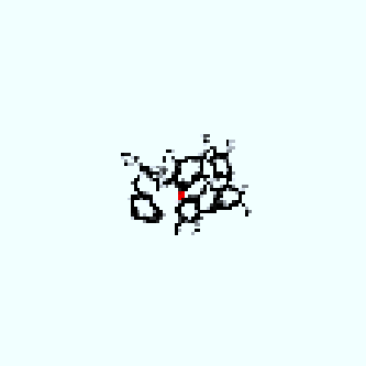 CC[NH+](CC)Cc1ccccc1.Cc1c(F)c(F)cc(F)c1[B-](c1c(F)cc(F)c(F)c1C)(c1c(F)cc(F)c(F)c1C)c1c(F)cc(F)c(F)c1C